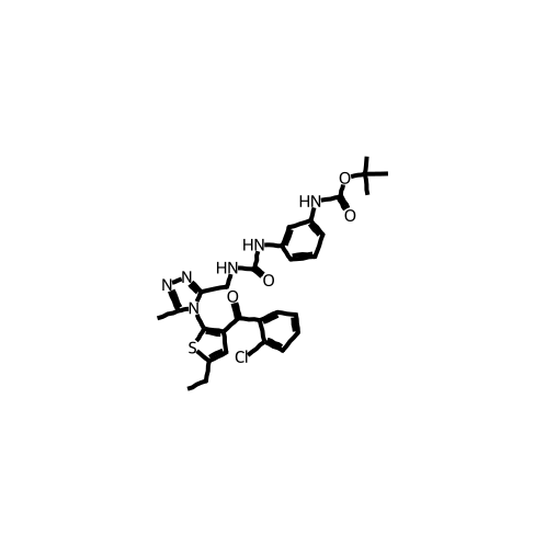 CCc1cc(C(=O)c2ccccc2Cl)c(-n2c(C)nnc2CNC(=O)Nc2cccc(NC(=O)OC(C)(C)C)c2)s1